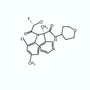 Cc1ccc(N(C(=O)[C@H](F)Cl)[C@@](C)(C(=O)NC2CCOCC2)c2cncnc2)c(Cl)c1